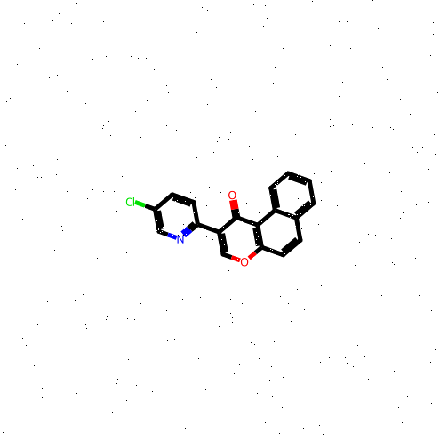 O=c1c(-c2ccc(Cl)cn2)coc2ccc3ccccc3c12